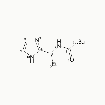 CCC(NC(=O)C(C)(C)C)c1ncc[nH]1